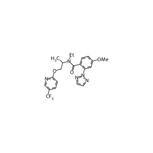 CCN(C(=O)c1ccc(OC)cc1-n1nccn1)C(C)COc1ccc(C(F)(F)F)cn1